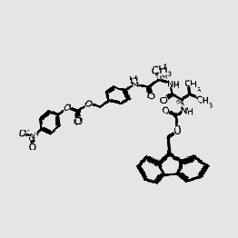 CC(C)[C@H](NC(=O)OCC1c2ccccc2-c2ccccc21)C(=O)N[C@@H](C)C(=O)Nc1ccc(COC(=O)Oc2ccc([N+](=O)[O-])cc2)cc1